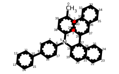 Cc1ccc(N(c2ccc(-c3ccccc3)cc2)c2ccc3ccccc3c2-c2ccc3ccccc3c2)cc1